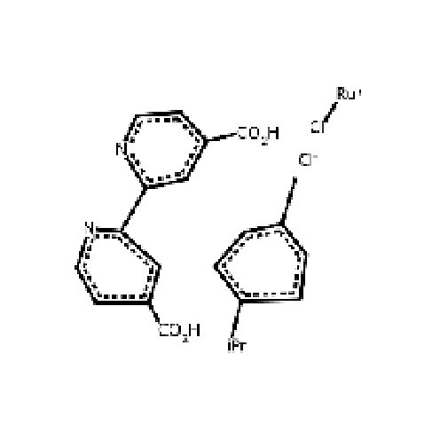 Cc1ccc(C(C)C)cc1.O=C(O)c1ccnc(-c2cc(C(=O)O)ccn2)c1.[Cl-].[Cl][Ru+]